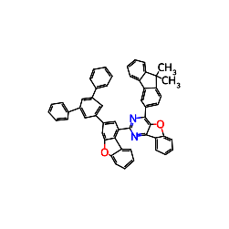 CC1(C)c2ccccc2-c2cc(-c3nc(-c4cc(-c5cc(-c6ccccc6)cc(-c6ccccc6)c5)cc5oc6ccccc6c45)nc4c3oc3ccccc34)ccc21